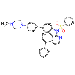 CC/C=C(/c1ccccc1)c1ccnc2c1c1cc(-c3ccc(N4CCN(C)CC4)cc3)ccc1n2S(=O)(=O)c1ccccc1